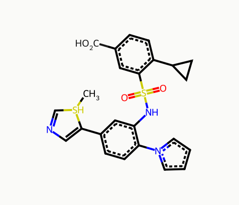 C[SH]1C=NC=C1c1ccc(-n2cccc2)c(NS(=O)(=O)c2cc(C(=O)O)ccc2C2CC2)c1